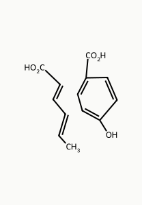 CC=CC=CC(=O)O.O=C(O)c1ccc(O)cc1